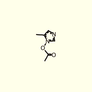 CC(=O)On1cncc1C